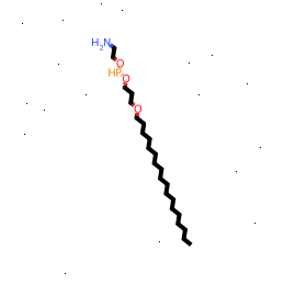 CCCCCCCCCCCCCCCCCCOCCCOPOCCN